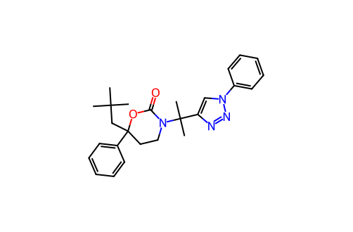 CC(C)(C)CC1(c2ccccc2)CCN(C(C)(C)c2cn(-c3ccccc3)nn2)C(=O)O1